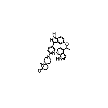 CC(Oc1ccc2[nH]nc(-c3ccc(N4CCC5(CCC(=O)N5C)CC4)nc3)c2c1)c1ccnc2[nH]ccc12